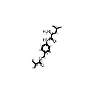 CC(C)C[C@H](N)C(=O)Nc1ccc(COC(=O)C(C)C)cc1